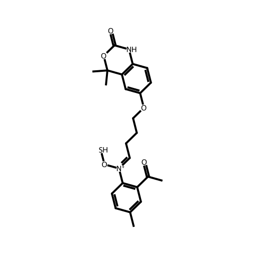 CC(=O)c1cc(C)ccc1[N+](=CCCCOc1ccc2c(c1)C(C)(C)OC(=O)N2)OS